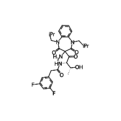 CC(C)CN1C(=O)C(N)(C(=O)[C@@H](NC(=O)Cc2cc(F)cc(F)c2)[C@@H](C)O)C(=O)N(CC(C)C)c2ccccc21